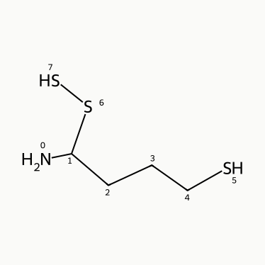 NC(CCCS)SS